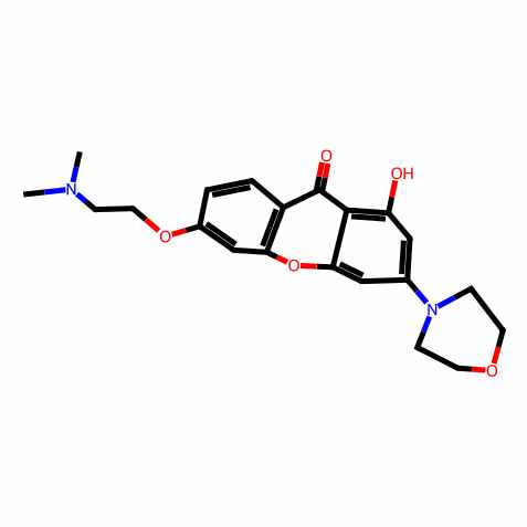 CN(C)CCOc1ccc2c(=O)c3c(O)cc(N4CCOCC4)cc3oc2c1